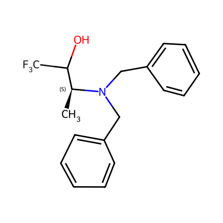 C[C@@H](C(O)C(F)(F)F)N(Cc1ccccc1)Cc1ccccc1